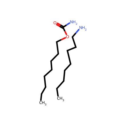 CCCCCCCCN.CCCCCCCCOC(N)=O